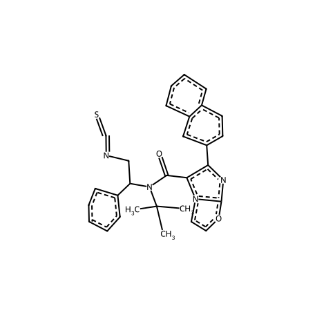 CC(C)(C)N(C(=O)c1c(-c2ccc3ccccc3c2)nc2occn12)C(CN=C=S)c1ccccc1